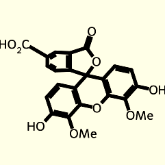 COc1c(O)ccc2c1Oc1c(ccc(O)c1OC)C21OC(=O)c2cc(C(=O)O)ccc21